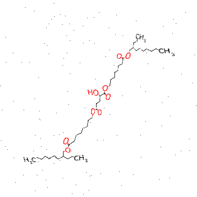 CCCCCCCC(CCC)COC(=O)CCCCCCCOC(=O)CCC(O)C(=O)OCCCCCCCC(=O)OCC(CCC)CCCCCCC